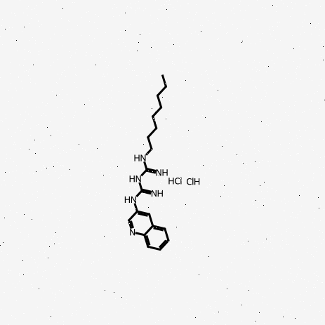 CCCCCCCCNC(=N)NC(=N)Nc1cnc2ccccc2c1.Cl.Cl